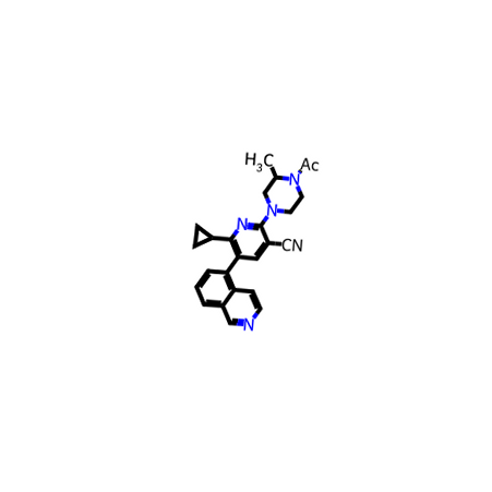 CC(=O)N1CCN(c2nc(C3CC3)c(-c3cccc4cnccc34)cc2C#N)CC1C